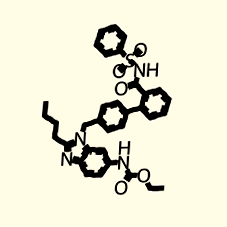 CCCCc1nc2ccc(NC(=O)OCC)cc2n1Cc1ccc(-c2ccccc2C(=O)NS(=O)(=O)c2ccccc2)cc1